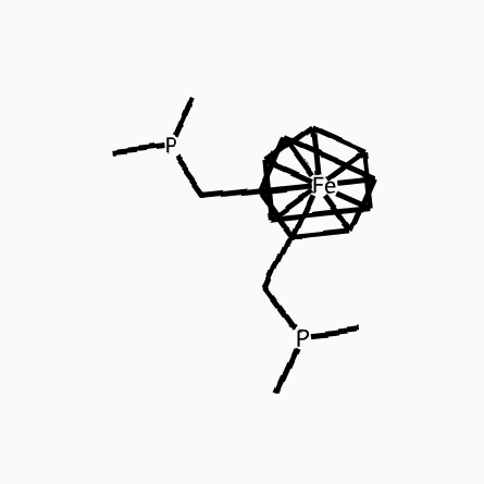 CP(C)C[C]12[CH]3[CH]4[CH]5[C]1(CP(C)C)[Fe]43521678[CH]2[CH]1[CH]6[CH]7[CH]28